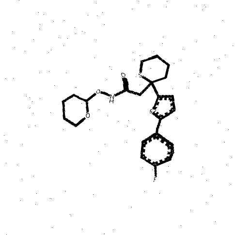 O=C(CC1(c2ccc(-c3ccc(F)cc3)s2)CCCCS1)NOC1CCCCO1